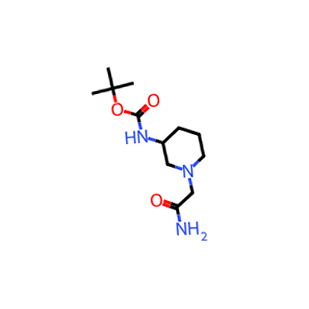 CC(C)(C)OC(=O)NC1CCCN(CC(N)=O)C1